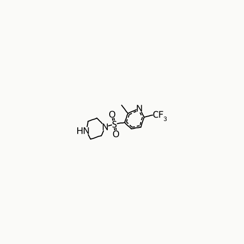 Cc1nc(C(F)(F)F)ccc1S(=O)(=O)N1CCNCC1